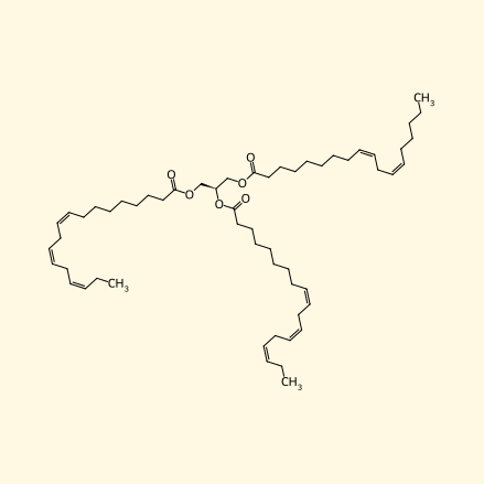 CC/C=C\C/C=C\C/C=C\CCCCCCCC(=O)OC[C@@H](COC(=O)CCCCCCC/C=C\C/C=C\CCCCC)OC(=O)CCCCCCC/C=C\C/C=C\C/C=C\CC